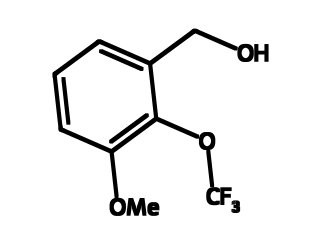 COc1cccc(CO)c1OC(F)(F)F